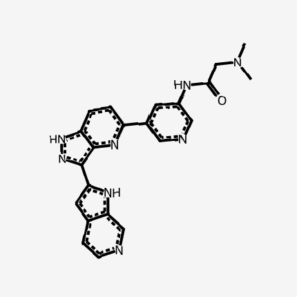 CN(C)CC(=O)Nc1cncc(-c2ccc3[nH]nc(-c4cc5ccncc5[nH]4)c3n2)c1